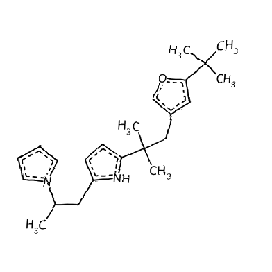 CC(Cc1ccc(C(C)(C)Cc2coc(C(C)(C)C)c2)[nH]1)n1cccc1